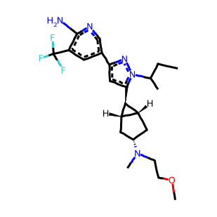 CCC(C)n1nc(-c2cnc(N)c(C(F)(F)F)c2)cc1[C@H]1[C@@H]2C[C@H](N(C)CCOC)C[C@@H]21